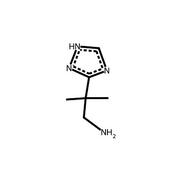 CC(C)(CN)c1nc[nH]n1